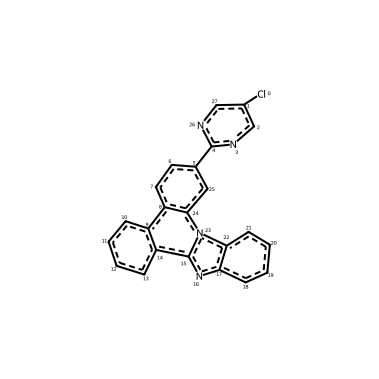 Clc1cnc(-c2ccc3c4ccccc4c4nc5ccccc5n4c3c2)nc1